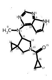 CN(c1ncnc2[nH]ccc12)C1CN(C(=O)C2CC2)CC12CC2